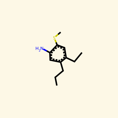 CCCc1cc(N)c(SC)cc1CC